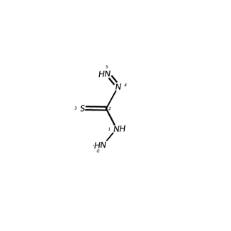 [NH]NC(=S)N=N